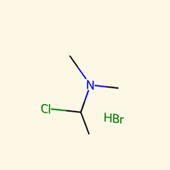 Br.CC(Cl)N(C)C